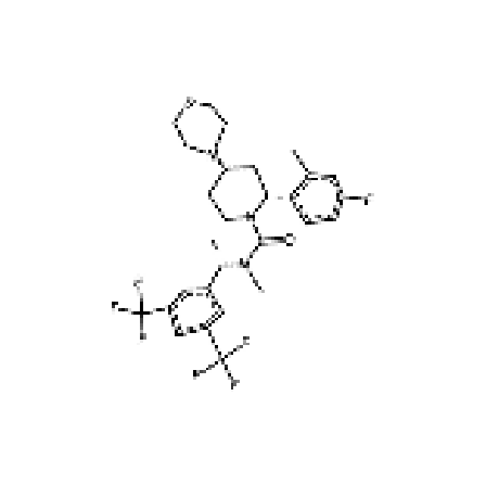 Cc1cc(F)ccc1[C@H]1C[C@H](N2CCSCC2)CCN1C(=O)N(C)[C@@H](C)c1cc(C(F)(F)F)cc(C(F)(F)F)c1